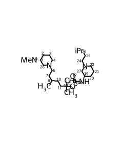 CN[C@@H]1CCCN(CCC(C)CCC(C)(C)OC(=O)N[C@@H]2CCCN(CCC(C)C)C2)C1